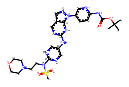 CC(C)(C)OC(=O)Nc1ccc(-n2ncc3cnc(Nc4cnc(N(CCN5CCOCC5)S(C)(=O)=O)nc4)nc32)cn1